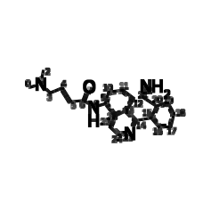 CN(C)C/C=C/C(=O)Nc1cccc2c(-c3ccccc3CN)nccc12